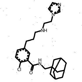 O=C(NCC12CC3CC(CC(C3)C1)C2)c1cc(CCCNCCn2ccnc2)ccc1Cl